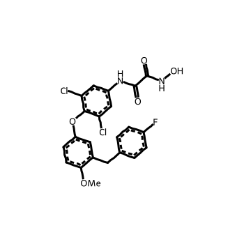 COc1ccc(Oc2c(Cl)cc(NC(=O)C(=O)NO)cc2Cl)cc1Cc1ccc(F)cc1